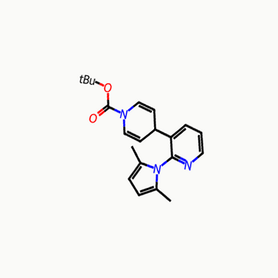 Cc1ccc(C)n1-c1ncccc1C1C=CN(C(=O)OC(C)(C)C)C=C1